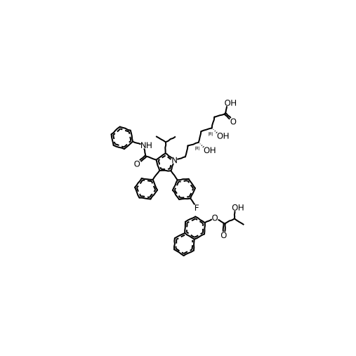 CC(C)c1c(C(=O)Nc2ccccc2)c(-c2ccccc2)c(-c2ccc(F)cc2)n1CC[C@@H](O)C[C@@H](O)CC(=O)O.CC(O)C(=O)Oc1ccc2ccccc2c1